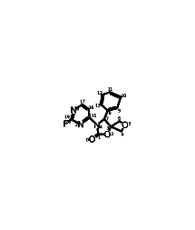 O=C1OC2(COC2)C(c2ccccc2)N1c1ccnc(F)n1